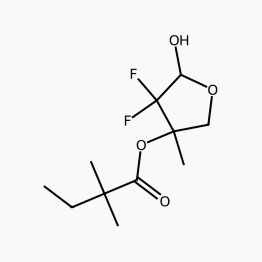 CCC(C)(C)C(=O)OC1(C)COC(O)C1(F)F